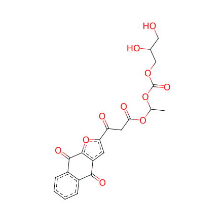 CC(OC(=O)CC(=O)c1cc2c(o1)C(=O)c1ccccc1C2=O)OC(=O)OCC(O)CO